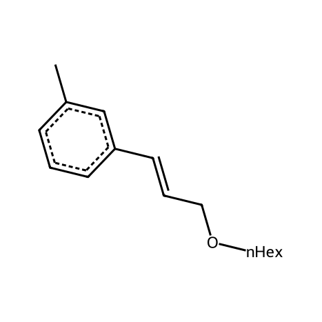 [CH2]CCCCCOC/C=C/c1cccc(C)c1